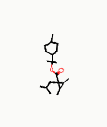 CC(C)CC1(C(=O)OC(C)(C)C2CCC(C)CC2)C(C)[C@@H]1C